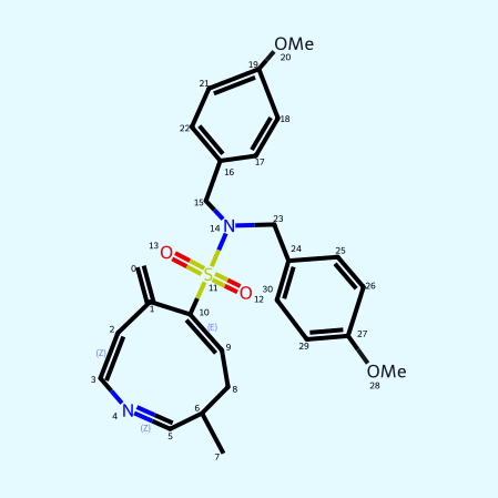 C=C1/C=C\N=C/C(C)C/C=C\1S(=O)(=O)N(Cc1ccc(OC)cc1)Cc1ccc(OC)cc1